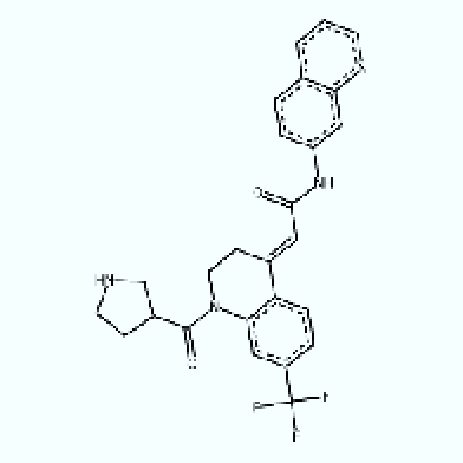 O=C(C=C1CCN(C(=O)C2CCNC2)c2cc(C(F)(F)F)ccc21)Nc1ccc2cccnc2c1